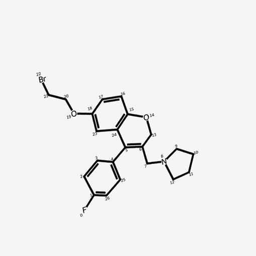 Fc1ccc(C2=C(CN3CCCC3)COc3ccc(OCCBr)cc32)cc1